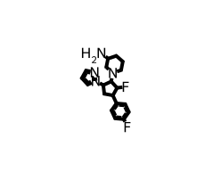 NC1CCCN(C2C(F)C(c3ccc(F)cc3)CC2n2cccn2)C1